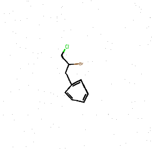 ClCC(Br)Cc1ccccc1